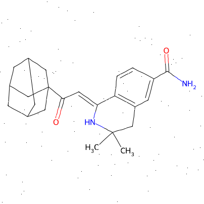 CC1(C)Cc2cc(C(N)=O)ccc2C(=CC(=O)C23CC4CC(CC(C4)C2)C3)N1